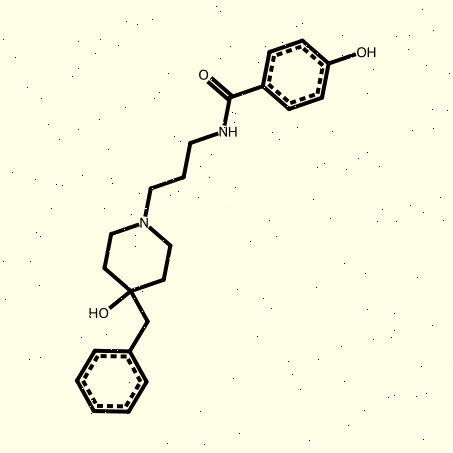 O=C(NCCCN1CCC(O)(Cc2ccccc2)CC1)c1ccc(O)cc1